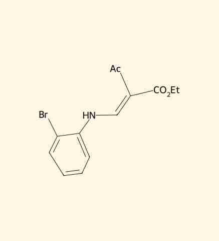 CCOC(=O)C(=CNc1ccccc1Br)C(C)=O